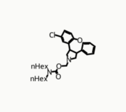 CCCCCCN(CCCCCC)C(=O)OCN1CC2c3ccccc3Oc3ccc(Cl)cc3C2C1